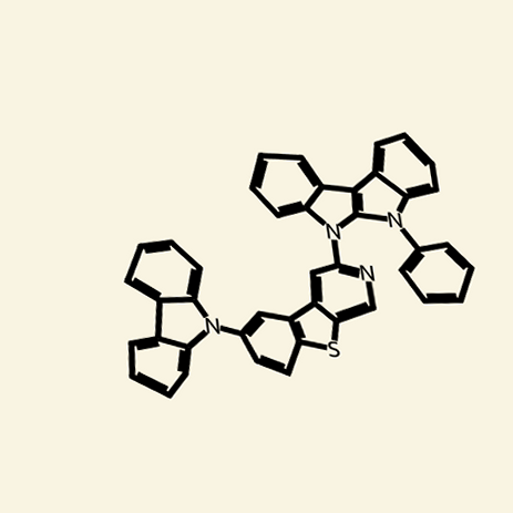 c1ccc(-n2c3ccccc3c3c4ccccc4n(-c4cc5c(cn4)sc4ccc(-n6c7ccccc7c7ccccc76)cc45)c32)cc1